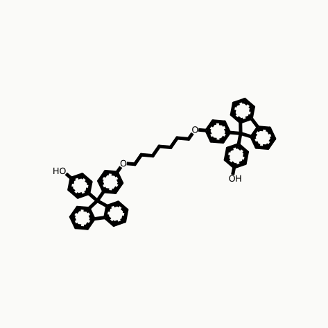 Oc1ccc(C2(c3ccc(OCCCCCCCOc4ccc(C5(c6ccc(O)cc6)c6ccccc6-c6ccccc65)cc4)cc3)c3ccccc3-c3ccccc32)cc1